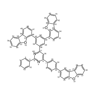 c1ccc(-c2nc(-c3ccc(-c4ccc5oc6ccccc6c5c4)cc3)cc(-c3cc(-c4cccc5c4oc4ccccc45)cc(-c4cccc5c4oc4ccccc45)c3)n2)cc1